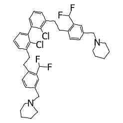 FC(F)c1cc(CN2CCCCC2)ccc1CCc1cccc(-c2cccc(CCc3ccc(CN4CCCCC4)cc3C(F)F)c2Cl)c1Cl